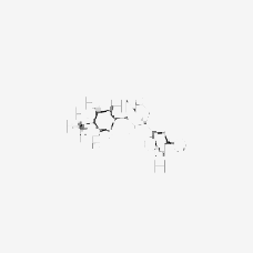 O=c1cc(C2CCNC(c3cc(F)c(C(F)(F)F)c(F)c3)C2)o[nH]1